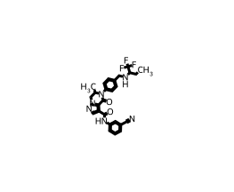 CCC(NCc1ccc(N2C(=O)c3c(C(=O)Nc4cccc(C#N)c4)cnn3CC2C)cc1)C(F)(F)F